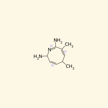 CC1=C/C(C)/C=C\C(N)/N=C\1N